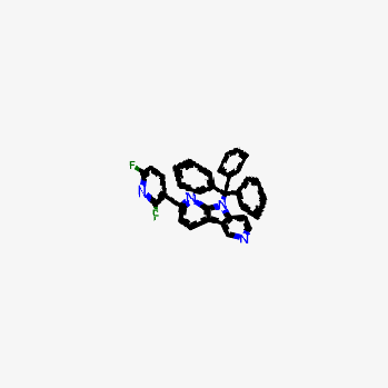 Fc1ccc(-c2ccc3c4cnccc4n(C(c4ccccc4)(c4ccccc4)c4ccccc4)c3n2)c(F)n1